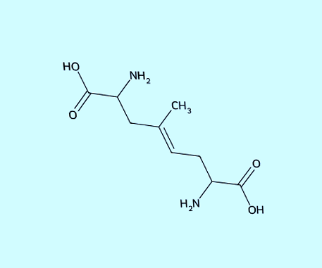 C/C(=C\CC(N)C(=O)O)CC(N)C(=O)O